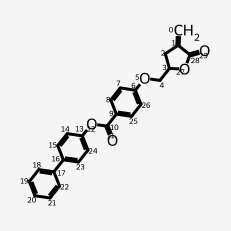 C=C1CC(COc2ccc(C(=O)Oc3ccc(-c4ccccc4)cc3)cc2)OC1=O